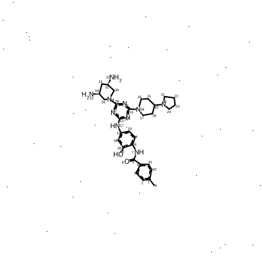 Cc1ccc(C(=O)Nc2ccc(Nc3nc(N4CCC(N5CCCC5)CC4)nc(N4C[C@H](N)C[C@H](N)C4)n3)cc2O)cc1